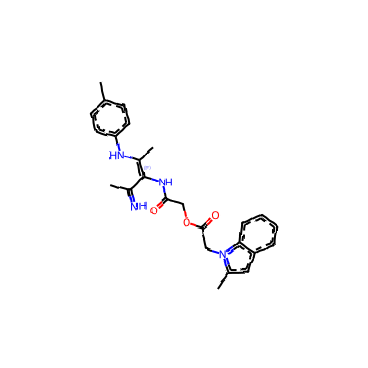 CC(=N)/C(NC(=O)COC(=O)Cn1c(C)cc2ccccc21)=C(/C)Nc1ccc(C)cc1